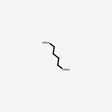 [CH2]CCCCCCCCCCCC[CH]CC